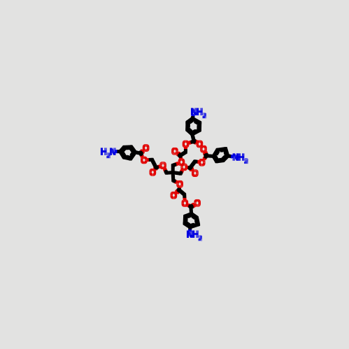 Nc1ccc(C(=O)OCC(=O)OCC(COC(=O)COC(=O)c2ccc(N)cc2)(COC(=O)COC(=O)c2ccc(N)cc2)COC(=O)COC(=O)c2ccc(N)cc2)cc1